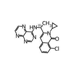 C[C@H](Nc1ncnc2nccnc12)c1cc2cccc(Cl)c2c(=O)n1C1CC1